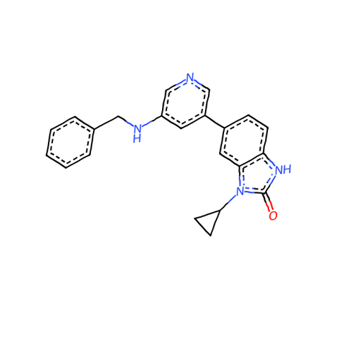 O=c1[nH]c2ccc(-c3cncc(NCc4ccccc4)c3)cc2n1C1CC1